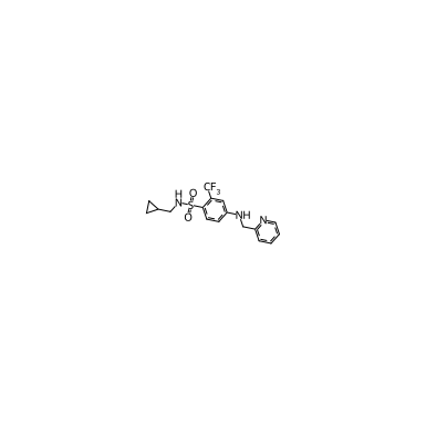 O=S(=O)(NCC1CC1)c1ccc(NCc2ccccn2)cc1C(F)(F)F